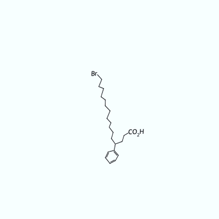 O=C(O)CCC(CCCCCCCCCCCCBr)c1ccccc1